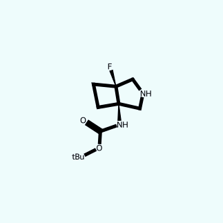 CC(C)(C)OC(=O)N[C@@]12CC[C@]1(F)CNC2